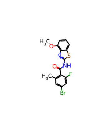 COc1cccc2sc(NC(=O)c3c(C)cc(Br)cc3F)nc12